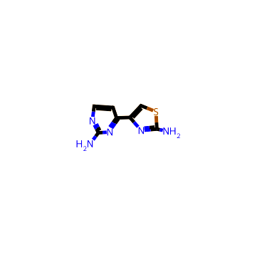 Nc1nccc(-c2csc(N)n2)n1